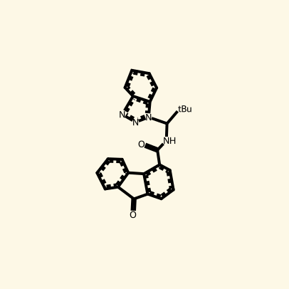 CC(C)(C)C(NC(=O)c1cccc2c1-c1ccccc1C2=O)n1nnc2ccccc21